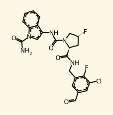 NC(=O)n1cc(NC(=O)N2C[C@H](F)C[C@H]2C(=O)NCc2cc(C=O)cc(Cl)c2F)c2ccccc21